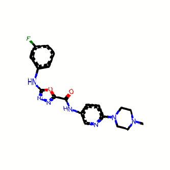 CN1CCN(c2ccc(NC(=O)c3nnc(Nc4cccc(F)c4)o3)cn2)CC1